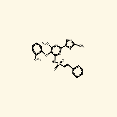 COc1ccccc1Oc1c(NS(=O)(=O)C=Cc2ccccc2)nc(-c2csc(C)n2)nc1OC